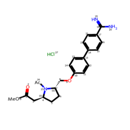 COC(=O)C[C@@H]1CC[C@@H](COc2ccc(-c3ccc(C(=N)N)cc3)cc2)N1C(C)=O.Cl